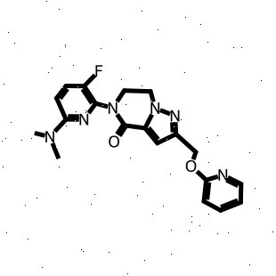 CN(C)c1ccc(F)c(N2CCn3nc(COc4ccccn4)cc3C2=O)n1